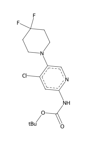 CC(C)(C)OC(=O)Nc1cc(Cl)c(N2CCC(F)(F)CC2)cn1